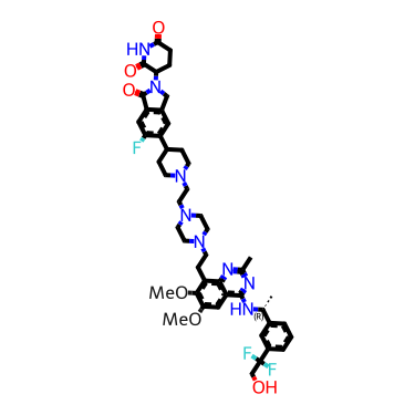 COc1cc2c(N[C@H](C)c3cccc(C(F)(F)CO)c3)nc(C)nc2c(CCN2CCN(CCN3CCC(c4cc5c(cc4F)C(=O)N(C4CCC(=O)NC4=O)C5)CC3)CC2)c1OC